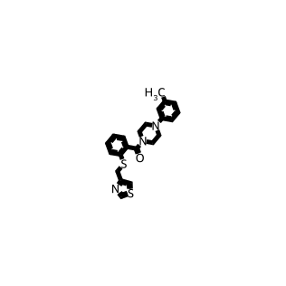 Cc1cccc(N2CCN(C(=O)c3ccccc3SCc3cscn3)CC2)c1